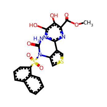 COC(=O)c1nc(-c2cscc2N(C(N)=O)S(=O)(=O)c2cccc3ccccc23)nc(O)c1O